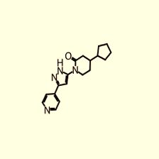 O=C1CC(C2CCCC2)CCN1c1cc(-c2ccncc2)n[nH]1